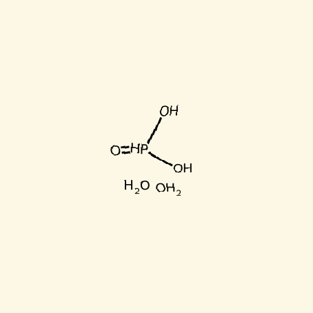 O.O.O=[PH](O)O